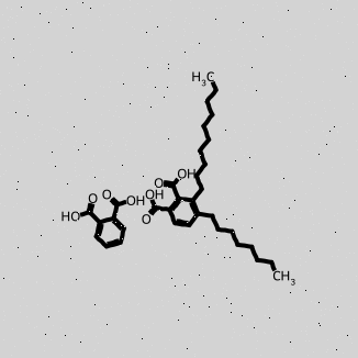 CCCCCCCCCCc1c(CCCCCCCC)ccc(C(=O)O)c1C(=O)O.O=C(O)c1ccccc1C(=O)O